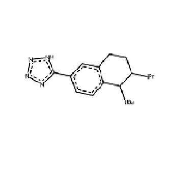 CC(C)C1CCc2cc(-c3nnn[nH]3)ccc2C1C(C)(C)C